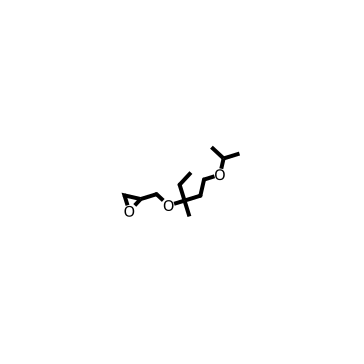 CCC(C)(CCOC(C)C)OCC1CO1